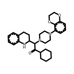 O=C(C1CCCCC1)C(C1CCc2ccccc2N1)N1CCN(c2cccc3c2OCCO3)CC1